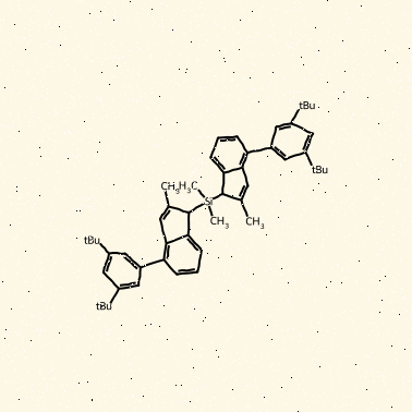 CC1=Cc2c(-c3cc(C(C)(C)C)cc(C(C)(C)C)c3)cccc2C1[Si](C)(C)C1C(C)=Cc2c(-c3cc(C(C)(C)C)cc(C(C)(C)C)c3)cccc21